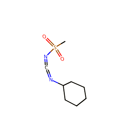 CS(=O)(=O)N=C=NC1CCCCC1